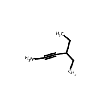 CCC(C#CN)CC